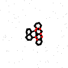 c1ccc(P(c2ccccc2)c2cccc3cccc(-c4c5ccccc5cc5ccccc45)c23)cc1